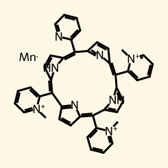 C[n+]1ccccc1-c1c2nc(c(-c3cccc[n+]3C)c3ccc([nH]3)c(-c3cccc[n+]3C)c3nc(c(-c4ccccn4)c4ccc1[nH]4)C=C3)C=C2.[Mn]